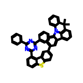 CC1(C)c2ccccc2-n2c3ccc(-c4ccc5sc6cccc(-c7nc(-c8ccccc8)nc(-c8ccccc8)n7)c6c5c4)cc3c3cccc1c32